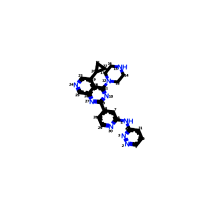 c1cnnc(Nc2cc(-c3nc(N4CCNCC4)c4c(C5CC5)cncc4n3)ccn2)c1